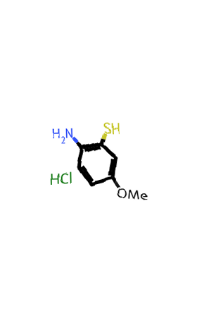 COc1ccc(N)c(S)c1.Cl